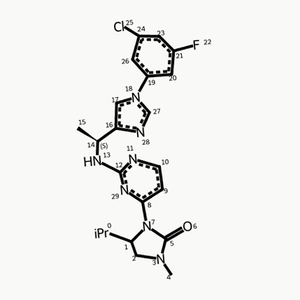 CC(C)C1CN(C)C(=O)N1c1ccnc(N[C@@H](C)c2cn(-c3cc(F)cc(Cl)c3)cn2)n1